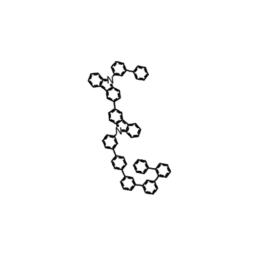 c1ccc(-c2cccc(-n3c4ccccc4c4cc(-c5ccc6c(c5)c5ccccc5n6-c5cccc(-c6ccc(-c7cccc(-c8cccc(-c9ccccc9-c9ccccc9)c8)c7)cc6)c5)ccc43)c2)cc1